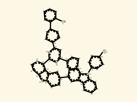 N#Cc1ccccc1-c1ccc(-c2cc(-c3ccccc3)nc(-c3nccc4sc5ccc(-c6ccc7c(c6)c6ccccc6n7-c6ccc(C(F)(F)F)cc6)cc5c34)n2)cc1